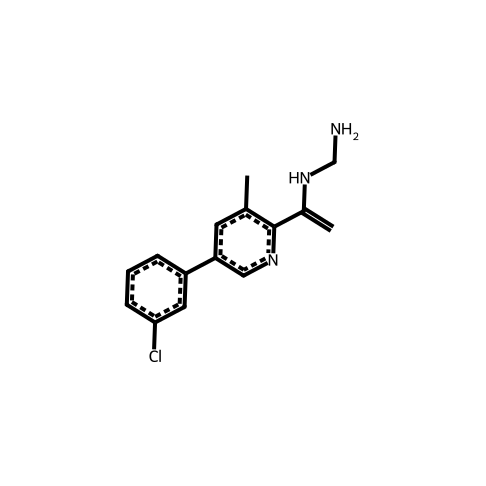 C=C(NCN)c1ncc(-c2cccc(Cl)c2)cc1C